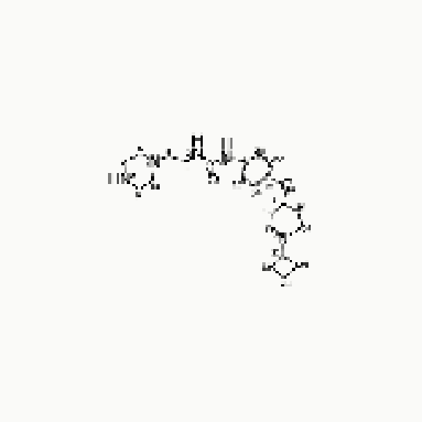 O=C(NCCN1CCNCC1)Nc1ccc(OC2CCN(C3CCC3)CC2)cc1